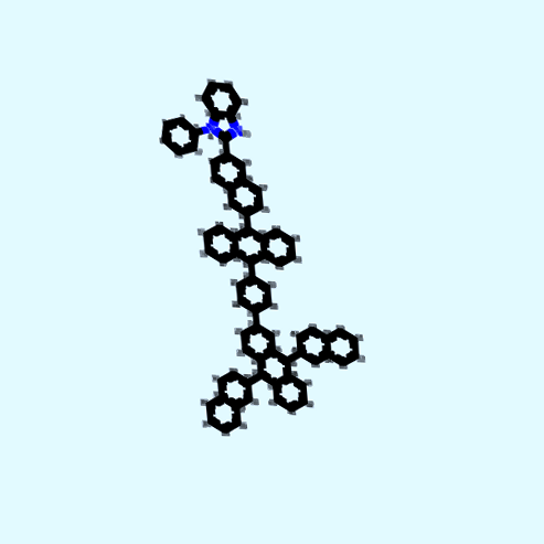 c1ccc(-n2c(-c3ccc4cc(-c5c6ccccc6c(-c6ccc(-c7ccc8c(-c9ccc%10ccccc%10c9)c9ccccc9c(-c9ccc%10ccccc%10c9)c8c7)cc6)c6ccccc56)ccc4c3)nc3ccccc32)cc1